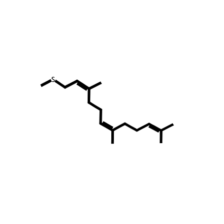 CSCC=C(C)CCC=C(C)CCC=C(C)C